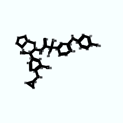 O=C(N[C@H](CN1CCCC1)[C@H](O)c1ccc(OC2CC2)c(Cl)c1)C(F)(F)c1ccnc(Oc2ccc(F)cc2)c1